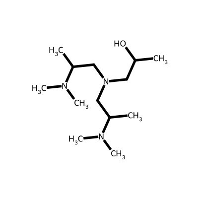 CC(O)CN(CC(C)N(C)C)CC(C)N(C)C